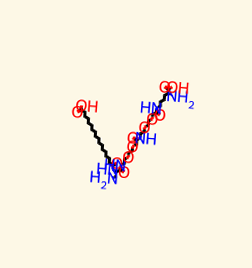 NC[C@H](NC(=O)CCCCCCCCCCCCCCCCC(=O)O)C(=O)NCCOCCOCC(=O)NCCOCCOCC(=O)NCCCC[C@H](N)C(=O)O